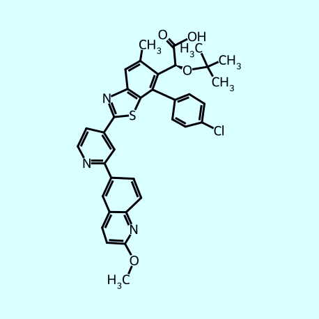 COc1ccc2cc(-c3cc(-c4nc5cc(C)c([C@H](OC(C)(C)C)C(=O)O)c(-c6ccc(Cl)cc6)c5s4)ccn3)ccc2n1